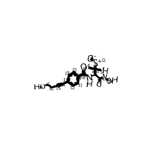 C[S+]([O-])C(C)(C)[C@H](NC(=O)c1ccc(C#CCCO)cc1)C(=O)NO